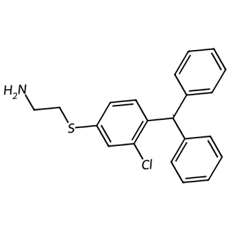 NCCSc1ccc([C](c2ccccc2)c2ccccc2)c(Cl)c1